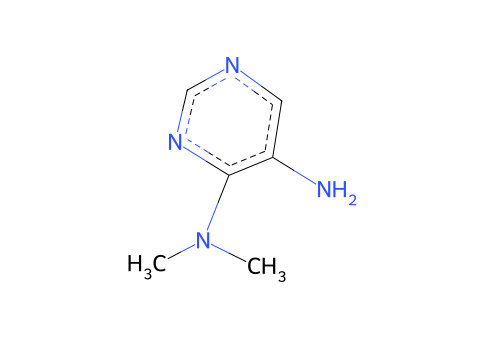 CN(C)c1ncncc1N